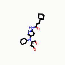 O=[C][C@H](C=C=O)N(c1ccc(NC(=O)C=Cc2ccccc2)nc1)C1CCCCC1